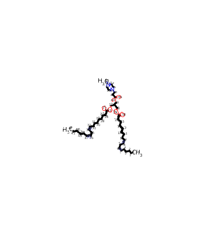 CCCCC/C=C\C/C=C\CCCCCCCC(=O)OCC(COC(=O)CCCCCCC/C=C\C/C=C\CCCCC)COC(=O)CCN1CCN(C)CC1